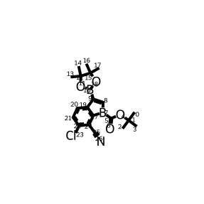 CC(C)(C)OC(=O)B1C=C(B2OC(C)(C)C(C)(C)O2)c2ccc(Cl)c(C#N)c21